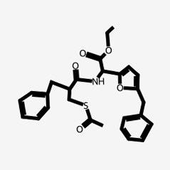 CCOC(=O)C(NC(=O)C(CSC(C)=O)Cc1ccccc1)c1ccc(Cc2ccccc2)o1